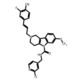 N#Cc1ccc(C=CCN2CCc3c(c4ccc(OC(F)(F)F)cc4n3C(=O)NCc3ccnc(Cl)c3)C2)cc1F